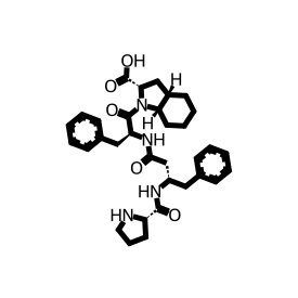 O=C(C[C@H](Cc1ccccc1)NC(=O)[C@@H]1CCCN1)N[C@@H](Cc1ccccc1)C(=O)N1[C@H](C(=O)O)C[C@@H]2CCCC[C@@H]21